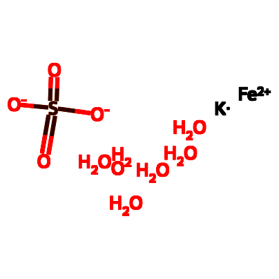 O.O.O.O.O.O.O=S(=O)([O-])[O-].[Fe+2].[K]